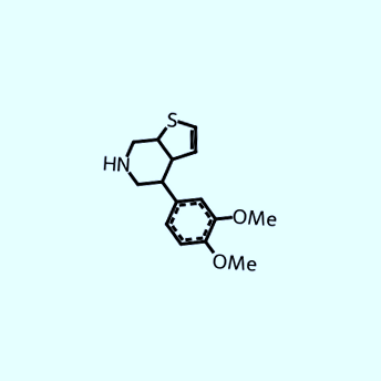 COc1ccc(C2CNCC3SC=CC32)cc1OC